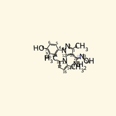 Cc1nn(-c2ccc(O)c(F)c2)c(-n2c(C)ccc2C)c1/C(N)=N/O